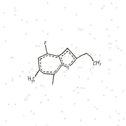 CCc1cc2c(F)cc(C)c(F)c2s1